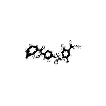 COC(=O)c1cc(F)c(NS(=O)(=O)c2ccc(C(O)C(=O)c3ccccc3)cc2)cc1F